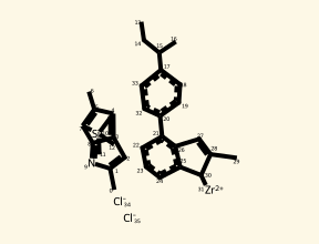 CC1=CC2=C3C(C)=C(C2=N1)[Si]3(C)C.CCC(C)c1ccc(-c2cccc3c2C=C(C)[CH]3[Zr+2])cc1.[Cl-].[Cl-]